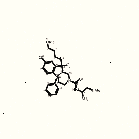 CNCC(C)NC(=O)N1CCC[C@@H]([C@@](O)(CCCCOC)c2cc(Cl)ccc2Oc2ccccc2)C1